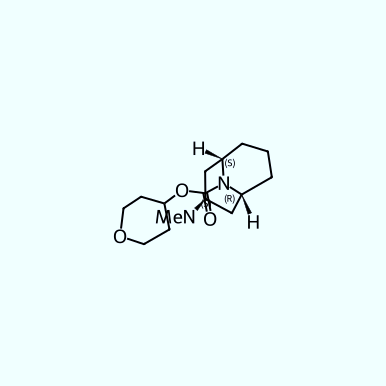 CN[C@@H]1C[C@H]2CCC[C@@H](C1)N2C(=O)OC1CCOCC1